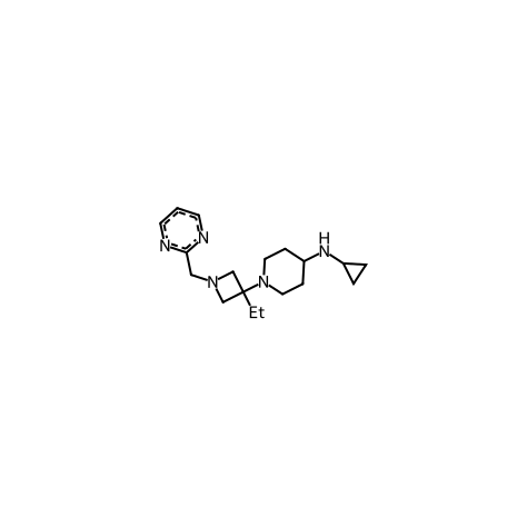 CCC1(N2CCC(NC3CC3)CC2)CN(Cc2ncccn2)C1